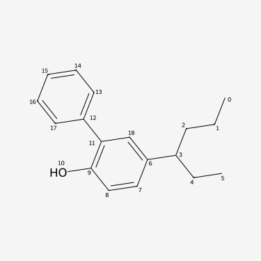 CCCC(CC)c1ccc(O)c(-c2ccccc2)c1